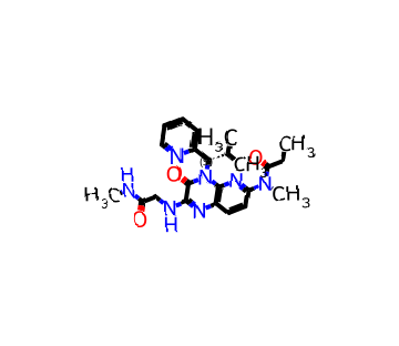 CCC(=O)N(C)c1ccc2nc(NCC(=O)NC)c(=O)n([C@H](c3ccccn3)C(C)C)c2n1